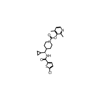 Cc1ccnc(C)c1OC(=O)N1CCC([C@H](NC(=O)c2ccc(Cl)s2)C2CC2)CC1